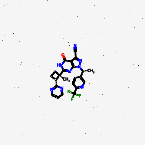 C[C@H](c1ccc(C(F)(F)F)nc1)n1nc(C#N)c2c(=O)[nH]c([C@]3(C)CC[C@H]3c3ncccn3)nc21